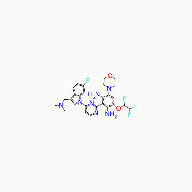 CN(C)Cc1cn(-c2ccnc(-c3c(N)c(OC(F)C(F)F)cc(N4CCOCC4)c3N)n2)c2cc(F)ccc12